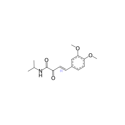 COc1ccc(/C=C/C(=O)C(=O)NC(C)C)cc1OC